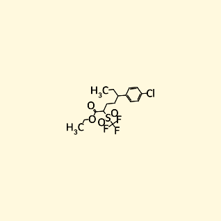 CCOC(=O)C(CCC(CC)c1ccc(Cl)cc1)S(=O)(=O)C(F)(F)F